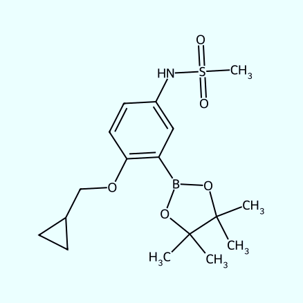 CC1(C)OB(c2cc(NS(C)(=O)=O)ccc2OCC2CC2)OC1(C)C